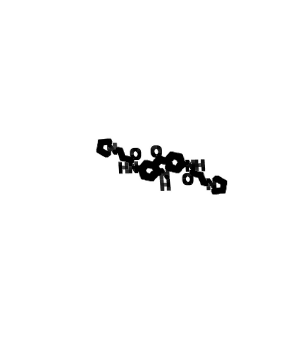 O=C(CCN1CCCC1)Nc1ccc2c(=O)c3cc(NC(=O)CCN4CCCC4)ccc3[nH]c2c1